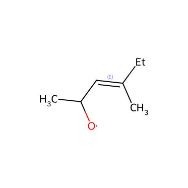 CC/C(C)=C/C(C)[O]